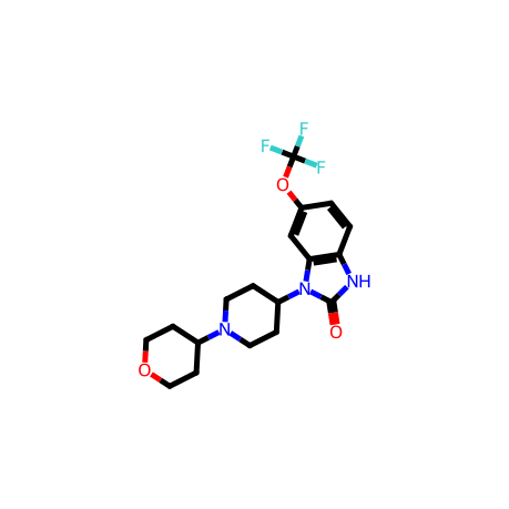 O=c1[nH]c2ccc(OC(F)(F)F)cc2n1C1CCN(C2CCOCC2)CC1